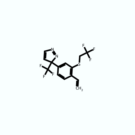 C=Cc1ccc(C2(C(F)(F)F)C=CN=N2)cc1SCC(F)(F)F